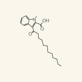 CCCCCCCCCCCC(=O)c1c(C(=O)O)n(C)c2ccccc12